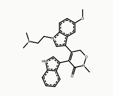 COc1ccc2c(c1)c(C1=C(c3c[nH]c4ccccc34)C(=O)N(C)OC1)cn2CCN(C)C